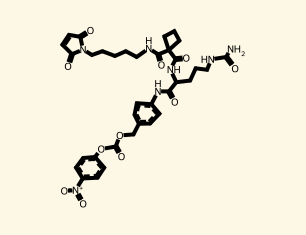 NC(=O)NCCCC(NC(=O)C1(C(=O)NCCCCCN2C(=O)C=CC2=O)CCC1)C(=O)Nc1ccc(COC(=O)Oc2ccc([N+](=O)[O-])cc2)cc1